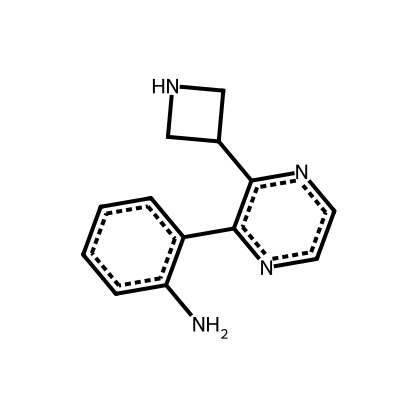 Nc1ccccc1-c1nccnc1C1CNC1